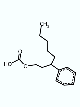 CCCCCC(CCOC(=O)O)c1ccccc1